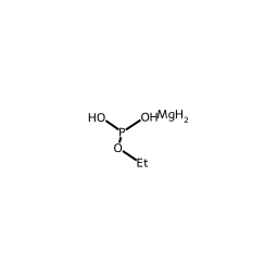 CCOP(O)O.[MgH2]